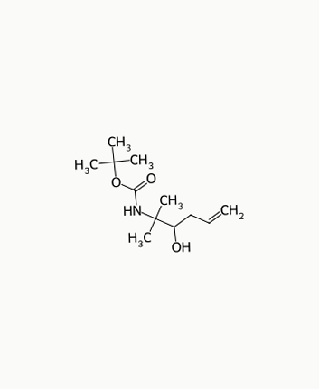 C=CCC(O)C(C)(C)NC(=O)OC(C)(C)C